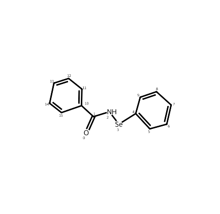 O=C(N[Se]c1ccccc1)c1ccccc1